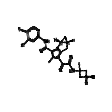 Cc1c(C(=O)C(=O)NC2(C)CS(=O)(=O)C2)c2n(c1C(=O)Nc1ccc(F)c(Cl)c1)[C@@H]1C[C@@H]1C2